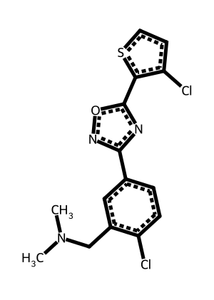 CN(C)Cc1cc(-c2noc(-c3sccc3Cl)n2)ccc1Cl